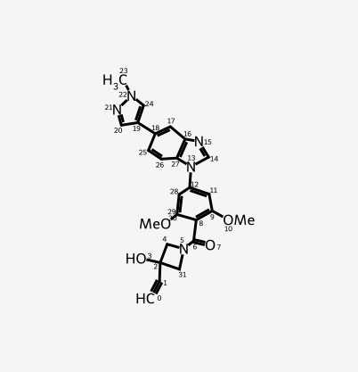 C#CC1(O)CN(C(=O)c2c(OC)cc(-n3cnc4cc(-c5cnn(C)c5)ccc43)cc2OC)C1